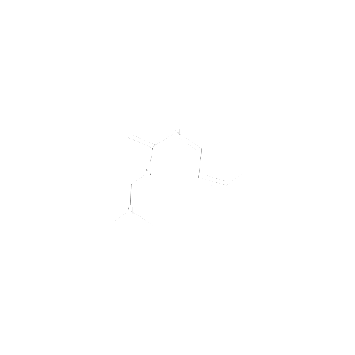 C=C(/N=C\C=C/C)NCN(C)C